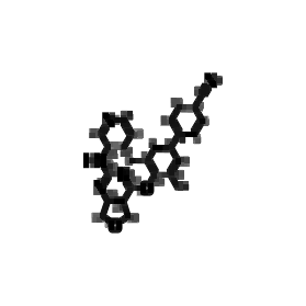 Cc1cc(-c2ccc(C#N)cc2)cc(C)c1Oc1nc(Nc2cccnc2)nc2c1COC2